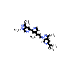 Cc1nn(C)c2cnc(-c3cc(C(C)CCn4nc(C)c5cc(C(C)C)ncc54)ccn3)cc12